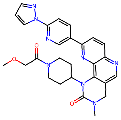 COCC(=O)N1CCC(N2C(=O)N(C)Cc3cnc4ccc(-c5ccc(-n6cccn6)nc5)nc4c32)CC1